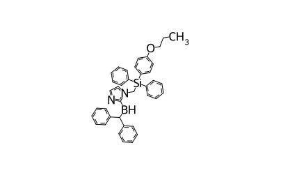 CCCOc1ccc([Si](Cn2ccnc2BC(c2ccccc2)c2ccccc2)(c2ccccc2)c2ccccc2)cc1